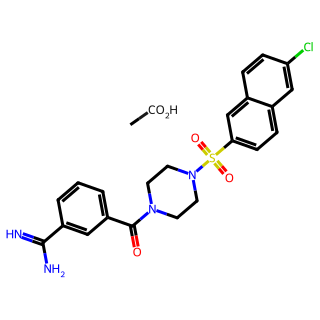 CC(=O)O.N=C(N)c1cccc(C(=O)N2CCN(S(=O)(=O)c3ccc4cc(Cl)ccc4c3)CC2)c1